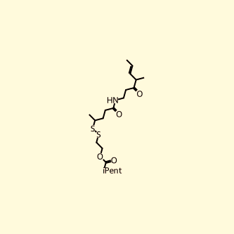 CC=CC(C)C(=O)CCNC(=O)CCC(C)SSCCOC(=O)C(C)CCC